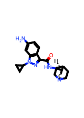 Nc1ccc2c(C(=O)N[C@@H]3CN4CCC3CC4)nn(C3CC3)c2c1